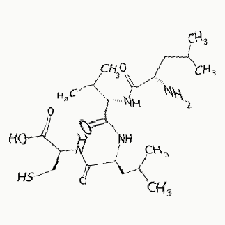 CC(C)C[C@H](NC(=O)[C@@H](NC(=O)[C@@H](N)CC(C)C)C(C)C)C(=O)N[C@@H](CS)C(=O)O